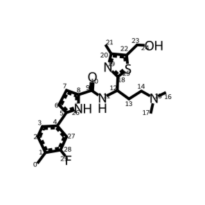 Cc1ccc(-c2ccc(C(=O)NC(CCN(C)C)c3nc(C)c(CO)s3)[nH]2)cc1F